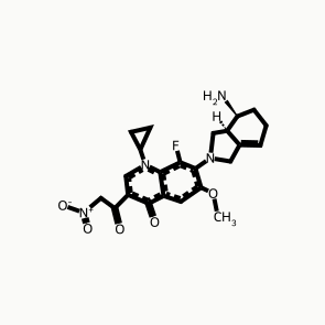 COc1cc2c(=O)c(C(=O)C[N+](=O)[O-])cn(C3CC3)c2c(F)c1N1CC2=CCC[C@H](N)[C@@H]2C1